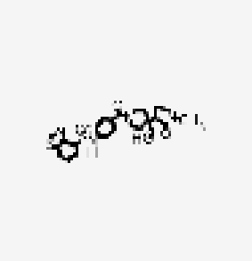 CN1CCC(C2(CO)CCN(C(=O)c3ccc(N[S+]([O-])c4cccc5scnc45)cc3)CC2)C1=O